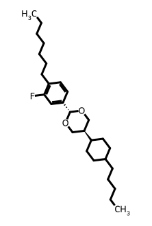 CCCCCCCc1ccc([C@H]2OC[C@H](C3CCC(CCCCC)CC3)CO2)cc1F